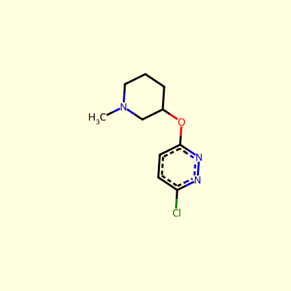 CN1CCCC(Oc2ccc(Cl)nn2)C1